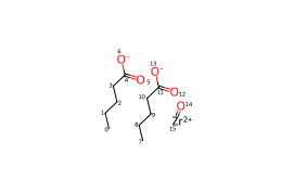 CCCCC(=O)[O-].CCCCC(=O)[O-].[O]=[Zr+2]